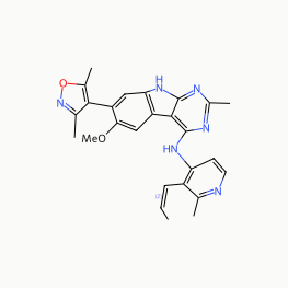 C/C=C\c1c(Nc2nc(C)nc3[nH]c4cc(-c5c(C)noc5C)c(OC)cc4c23)ccnc1C